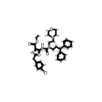 CCOC(=O)c1nc(Cc2ccc(Cl)cc2)oc1NC(=O)N(CCC(c1ccccc1)c1ccccc1)CCN1CCOCC1